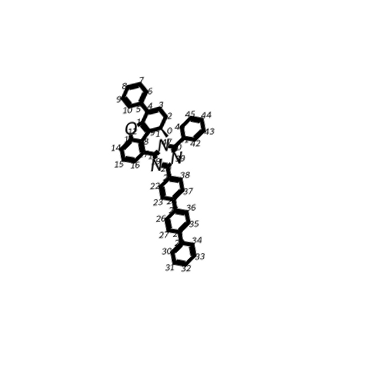 C[C@@H]1CC=C(c2ccccc2)c2oc3cccc(-c4nc(-c5ccc(-c6ccc(-c7ccccc7)cc6)cc5)nc(C5C=CC=CC5)n4)c3c21